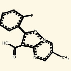 Cc1cnc2c(C(=O)O)c(-c3ccccc3F)nn2c1